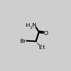 CC[C@H](Br)C(N)=O